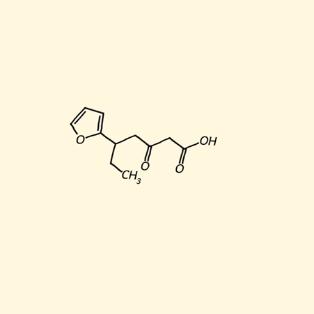 CCC(CC(=O)CC(=O)O)c1ccco1